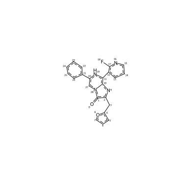 O=c1c(Cc2ccco2)nc2c(-c3cccnc3F)[nH]c(-c3ccccc3)cn1-2